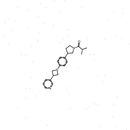 CC(C)C(=O)N1CCC(c2ccc(N3CC(c4cccnc4)C3)cc2)C1